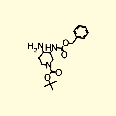 CC(C)(C)OC(=O)N1CCC(N)C(NC(=O)OCc2ccccc2)C1